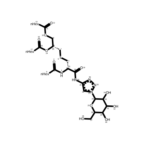 CCCCCCC(=O)N[C@H](CSC[C@@H](COC(=O)CCCCCC)OC(=O)CCCCCC)C(=O)Nc1cn(C2OC(CO)C(O)C(O)C2O)nn1